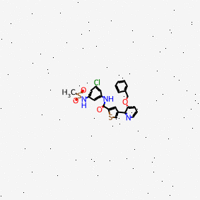 CS(=O)(=O)Nc1cc(Cl)cc(NC(=O)c2cc(-c3ncccc3OCc3ccccc3)cs2)c1